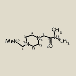 CNCN1CCN(CC(=O)N(C)C)CC1